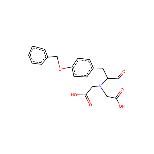 O=CC(Cc1ccc(OCc2ccccc2)cc1)N(CC(=O)O)CC(=O)O